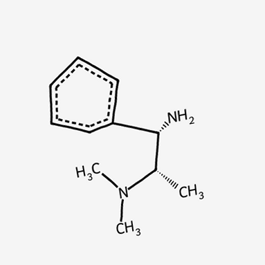 C[C@@H]([C@@H](N)c1ccccc1)N(C)C